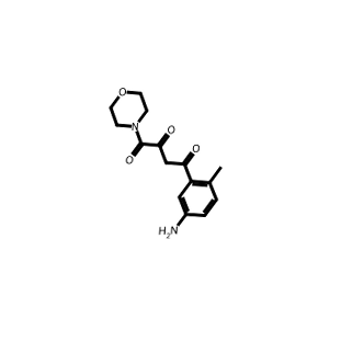 Cc1ccc(N)cc1C(=O)CC(=O)C(=O)N1CCOCC1